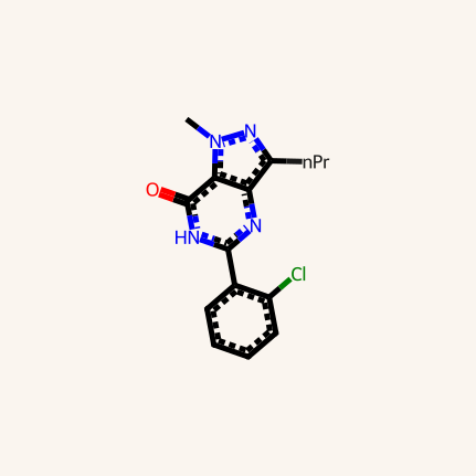 CCCc1nn(C)c2c(=O)[nH]c(-c3ccccc3Cl)nc12